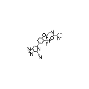 CN(CCOc1ccc(-c2cc3c(ncn3C)c(C#N)n2)cc1C(F)(F)F)C(=O)C1CCCN1C